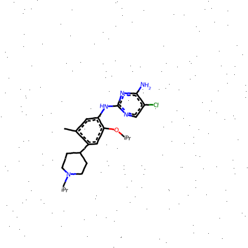 Cc1cc(Nc2ncc(Cl)c(N)n2)c(OC(C)C)cc1C1CCN(C(C)C)CC1